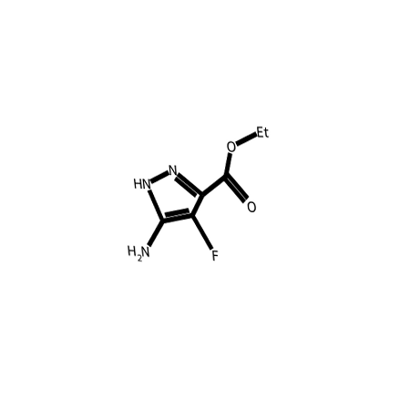 CCOC(=O)c1n[nH]c(N)c1F